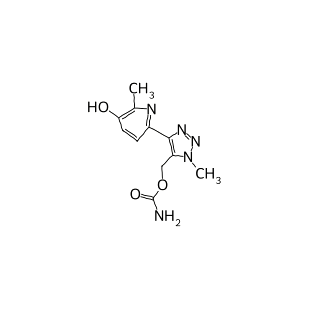 Cc1nc(-c2nnn(C)c2COC(N)=O)ccc1O